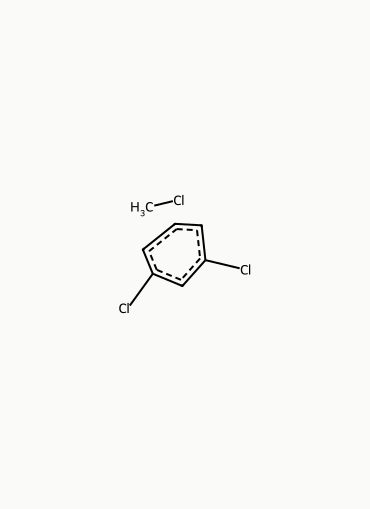 CCl.Clc1cccc(Cl)c1